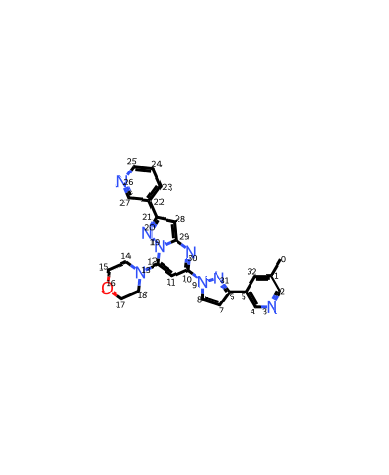 Cc1cncc(-c2ccn(-c3cc(N4CCOCC4)n4nc(-c5cccnc5)cc4n3)n2)c1